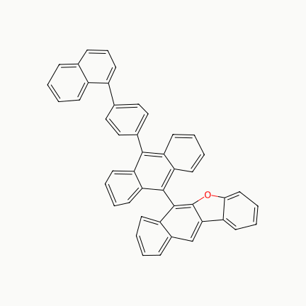 c1ccc2c(-c3ccc(-c4c5ccccc5c(-c5c6ccccc6cc6c5oc5ccccc56)c5ccccc45)cc3)cccc2c1